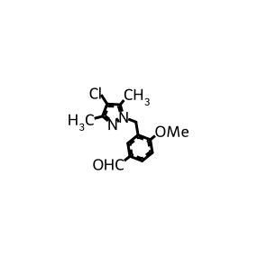 COc1ccc(C=O)cc1Cn1nc(C)c(Cl)c1C